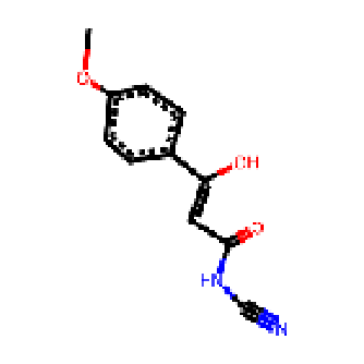 COc1ccc(C(O)=CC(=O)NC#N)cc1